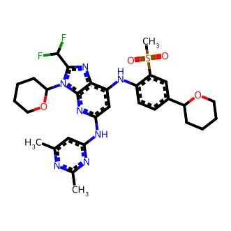 Cc1cc(Nc2cc(Nc3ccc(C4CCCCO4)cc3S(C)(=O)=O)c3nc(C(F)F)n(C4CCCCO4)c3n2)nc(C)n1